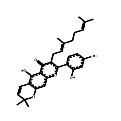 CC(C)=CCC/C(C)=C/Cc1c(-c2ccc(O)cc2O)oc2cc3c(c(O)c2c1=O)C=CC(C)(C)O3